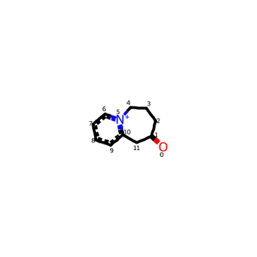 O=C1CCC[n+]2ccccc2C1